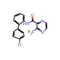 O=C(Nc1ccccc1-c1ccc(Cl)cc1)c1nccnc1C(F)(F)F